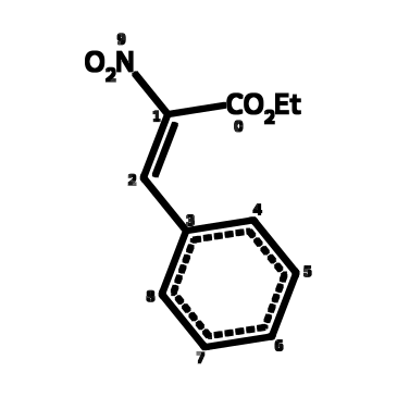 CCOC(=O)/C(=C\c1ccccc1)[N+](=O)[O-]